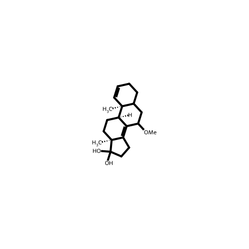 COC1CC2CCC=C[C@]2(C)[C@@H]2CC[C@@]3(C)C(=C12)CCC3(O)O